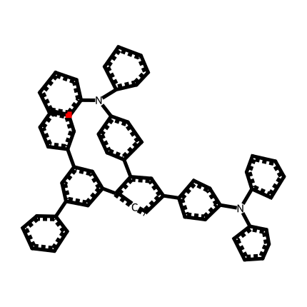 c1ccc(-c2cc(-c3ccccc3)cc(-c3ccc(-c4ccc(N(c5ccccc5)c5ccccc5)cc4)cc3-c3ccc(N(c4ccccc4)c4ccccc4)cc3)c2)cc1